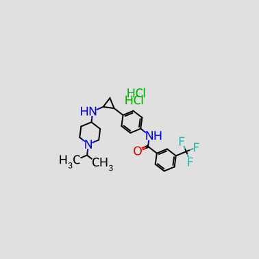 CC(C)N1CCC(NC2CC2c2ccc(NC(=O)c3cccc(C(F)(F)F)c3)cc2)CC1.Cl.Cl